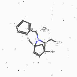 CC(=O)OC[C@H]1[C@@H]2C=C[C@@H](C2)N1[C@@H](C)c1ccccc1